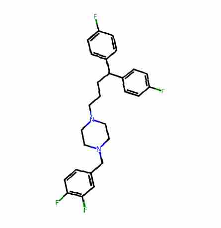 Fc1ccc(C(CCCN2CCN(Cc3ccc(F)c(F)c3)CC2)c2ccc(F)cc2)cc1